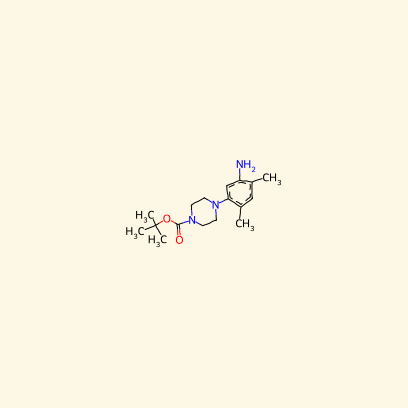 Cc1cc(C)c(N2CCN(C(=O)OC(C)(C)C)CC2)cc1N